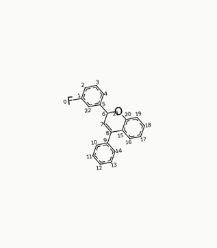 Fc1cccc(C2C=C(c3ccccc3)c3ccccc3O2)c1